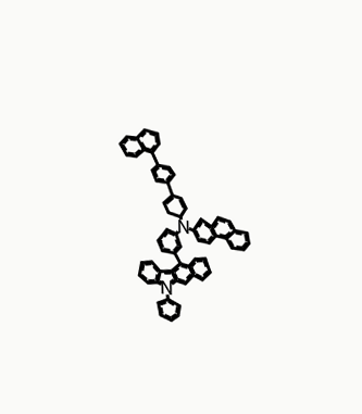 C1=CC(N(c2cccc(-c3c4ccccc4cc4c3c3ccccc3n4-c3ccccc3)c2)c2ccc3c(ccc4ccccc43)c2)CC=C1c1ccc(-c2cccc3ccccc23)cc1